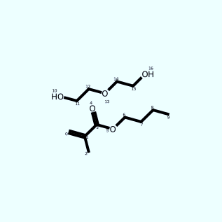 C=C(C)C(=O)OCCCC.OCCOCCO